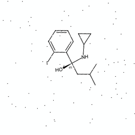 CC(C)C[C@@](O)(NC1CC1)c1ccccc1I